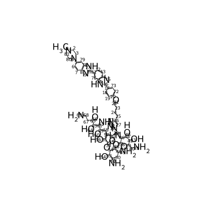 CN1CCN(c2ccc3nc(-c4ccc5nc(-c6ccc(OCCCCc7cn(C[C@H]8O[C@@H](O[C@H]9C(O[C@@H]%10OC(CN)[C@@H](O)[C@H](O)C%10N)C(N)C[C@@H](N)C9O)[C@@H](O)C8C[C@@H](O)C(N)C(O)[C@H](O)CCN)nn7)cc6)[nH]c5c4)[nH]c3c2)CC1